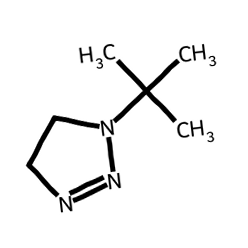 CC(C)(C)N1CCN=N1